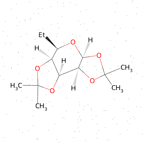 CC[C@H]1O[C@H]2OC(C)(C)O[C@H]2[C@H]2OC(C)(C)O[C@H]21